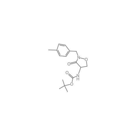 Cc1ccc(CN2OCC(NC(=O)OC(C)(C)C)C2=O)cc1